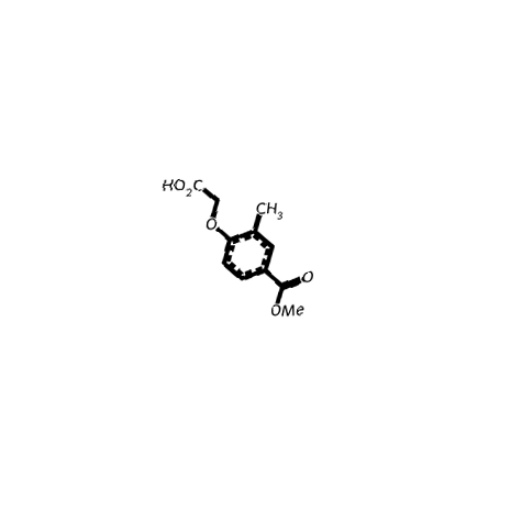 COC(=O)c1ccc(OCC(=O)O)c(C)c1